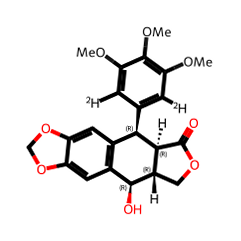 [2H]c1c(OC)c(OC)c(OC)c([2H])c1[C@@H]1c2cc3c(cc2[C@H](O)[C@H]2COC(=O)[C@H]12)OCO3